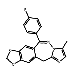 Cc1cnc2n1N=C(c1ccc(F)cc1)c1cc3c(cc1C2)OCO3